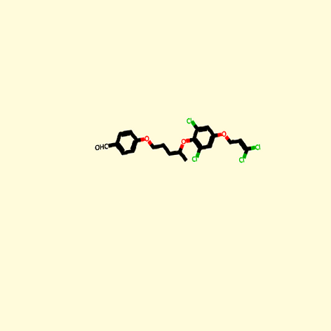 CC(CCCOc1ccc(C=O)cc1)Oc1c(Cl)cc(OCC=C(Cl)Cl)cc1Cl